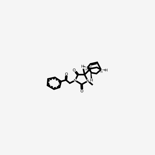 CN1C(=O)N(CC(=O)c2ccccc2)C(=O)C1(C)[C@H]1C[C@H]2C=C[C@@H]1CC2